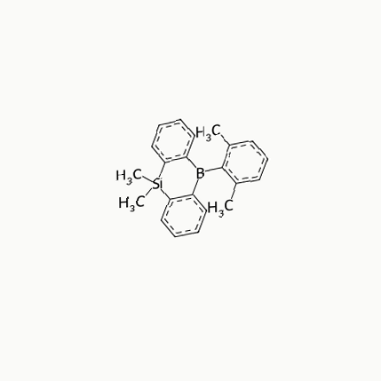 Cc1cccc(C)c1B1c2ccccc2[Si](C)(C)c2ccccc21